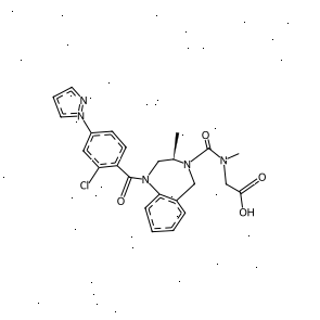 C[C@@H]1CN(C(=O)c2ccc(-n3cccn3)cc2Cl)c2ccccc2CN1C(=O)N(C)CC(=O)O